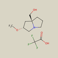 O=C(O)C(F)(F)F.OC[C@@]12CCCN1C[C@H](OC(F)(F)F)C2